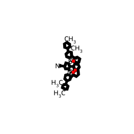 Cc1ccc(-c2ccc3c(c2)c2ccccc2n3-c2cc(C#N)cc(-n3c4ccccc4c4cc(-c5ccc(C)cc5C)ccc43)c2-c2c(C#N)cccc2C(F)(F)F)c(C)c1